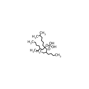 CCCCC(CC)CC(CCCCC(C)C)(CC(CC)CCCC)OP(=O)(O)O